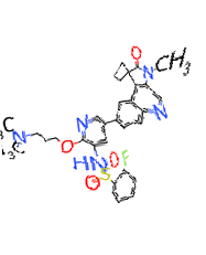 CN(C)CCCOc1ncc(-c2ccc3ncc4c(c3c2)C2(CCC2)C(=O)N4C)cc1NS(=O)(=O)c1ccccc1F